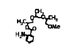 COCC(C)OCC(C)OCC(C)OC(=O)c1ccccc1N